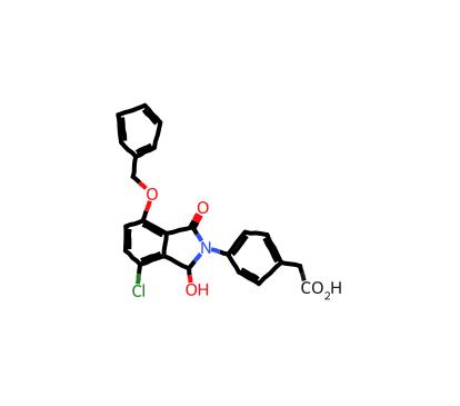 O=C(O)Cc1ccc(N2C(=O)c3c(OCc4ccccc4)ccc(Cl)c3C2O)cc1